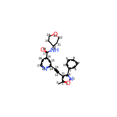 Cc1onc(-c2ccccc2)c1C#Cc1cc(C(=O)NC2CCOCC2)ccn1